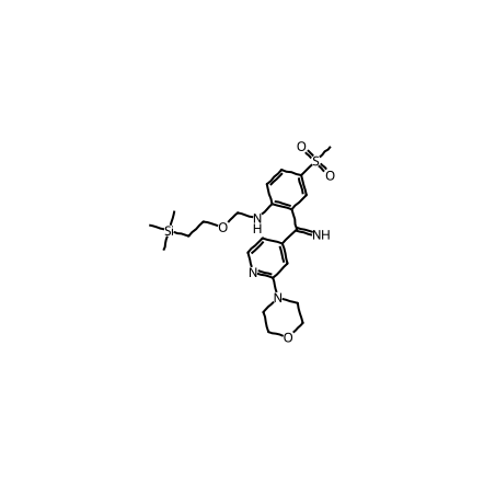 C[Si](C)(C)CCOCNc1ccc(S(C)(=O)=O)cc1C(=N)c1ccnc(N2CCOCC2)c1